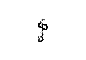 CC(C)n1ccc2c(OCC3CCCO3)cccc21